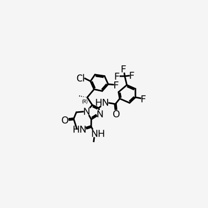 CNC(=N)c1nc(NC(=O)c2cc(F)cc(C(F)(F)F)c2)c([C@H](C)c2cc(F)ccc2Cl)n1CC(C)=O